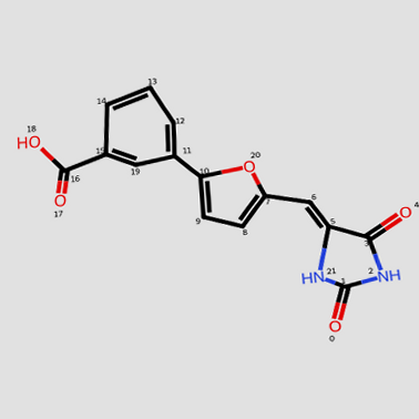 O=C1NC(=O)/C(=C/c2ccc(-c3cccc(C(=O)O)c3)o2)N1